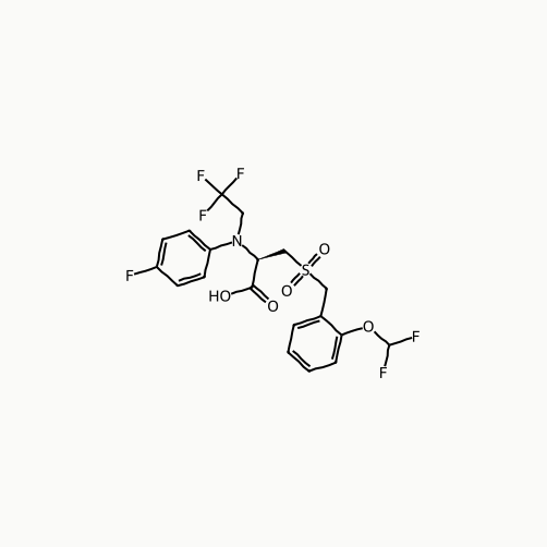 O=C(O)[C@H](CS(=O)(=O)Cc1ccccc1OC(F)F)N(CC(F)(F)F)c1ccc(F)cc1